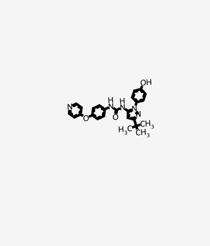 CC(C)(C)c1cc(NC(=O)Nc2ccc(Oc3ccncc3)cc2)n(-c2ccc(O)cc2)n1